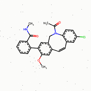 CNC(=O)c1ccccc1-c1cc2c(cc1OC)C=Cc1cc(Cl)ccc1N(C(C)=O)C2